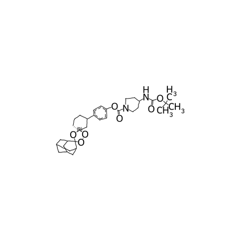 CC(C)(C)OC(=O)NC1CCN(C(=O)Oc2ccc(C3CCC[C@]4(C3)OOC3(O4)C4CC5CC(C4)CC3C5)cc2)CC1